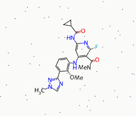 CNC(=O)c1c(Nc2cccc(-c3ncn(C)n3)c2OC)cc(NC(=O)C2CC2)nc1F